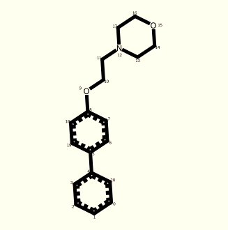 [c]1cccc(-c2ccc(OCCN3CCOCC3)cc2)c1